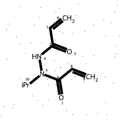 C=CC(=O)NN(C(=O)C=C)C(C)C